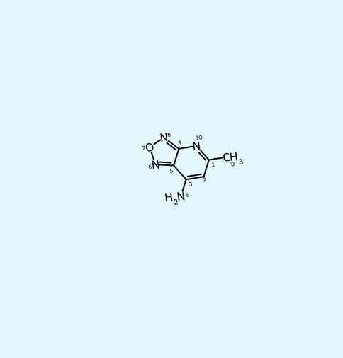 Cc1cc(N)c2nonc2n1